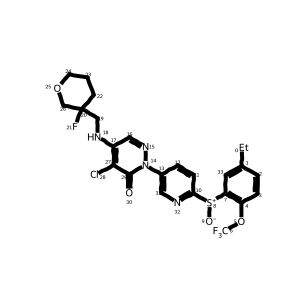 CCc1ccc(OC(F)(F)F)c([S+]([O-])c2ccc(-n3ncc(NCC4(F)CCCOC4)c(Cl)c3=O)cn2)c1